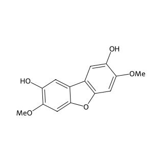 COc1cc2oc3cc(OC)c(O)cc3c2cc1O